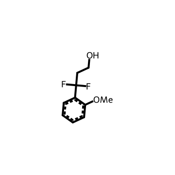 COc1ccccc1C(F)(F)CCO